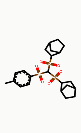 Cc1ccc(S(=O)(=O)C(S(=O)(=O)C2CC3CCC2C3)S(=O)(=O)C2CC3CCC2C3)cc1